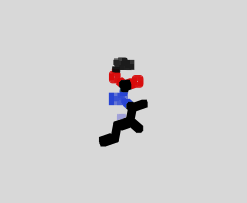 C=C/C=C(\C)C(C)NC(=O)OC(C)(C)C